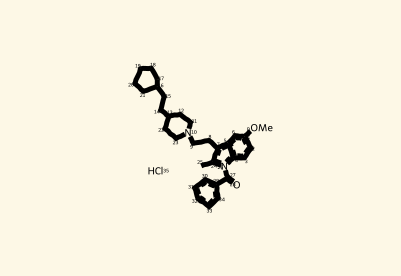 COc1ccc2c(c1)c(CCN1CCC(CCC3CCCCC3)CC1)c(C)n2C(=O)c1ccccc1.Cl